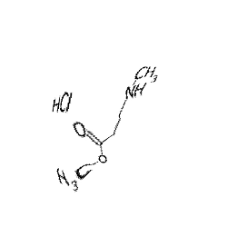 CNCCC(=O)OC.Cl